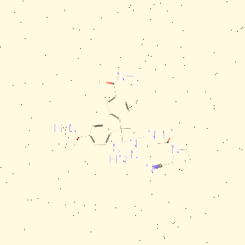 N#CC1CCCN1C(=O)CNCCC1(c2nn[nH]n2)c2ccc(C(N)=O)cc2-c2cc(C(N)=O)ccc21